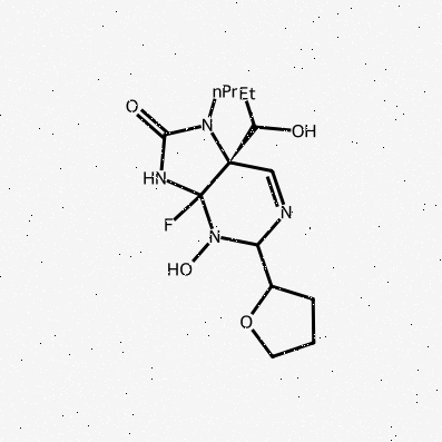 CCCN1C(=O)NC2(F)N(O)C(C3CCCO3)N=C[C@@]12C(O)CC